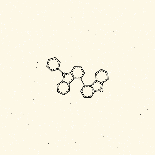 c1ccc(-n2c3ccccc3c3c(-c4cccc5oc6ccccc6c45)cccc32)cc1